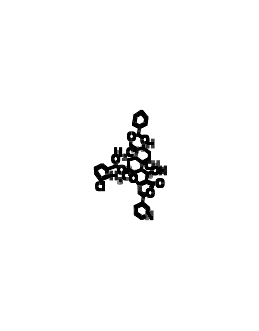 C[C@]12CC[C@@H]3OC(c4ccccc4)OC[C@@]3(C)C1C[C@H](OC(=O)c1cccc(Cl)c1)[C@@]1(C)Oc3cc(-c4cccnc4)oc(=O)c3[C@H](O)C21